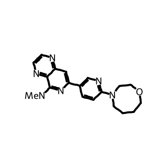 CNc1nc(-c2ccc(N3CCCCOCC3)nc2)cc2nccnc12